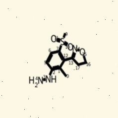 Cc1c(NN)ccc(S(C)(=O)=O)c1C1=NOCC1